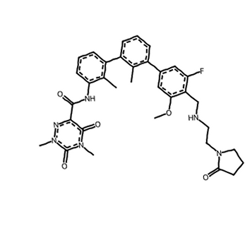 COc1cc(-c2cccc(-c3cccc(NC(=O)c4nn(C)c(=O)n(C)c4=O)c3C)c2C)cc(F)c1CNCCN1CCCC1=O